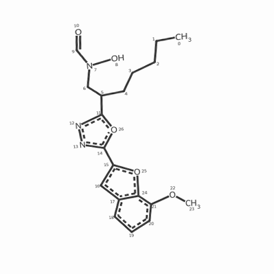 CCCCCC(CN(O)C=O)c1nnc(-c2cc3cccc(OC)c3o2)o1